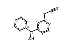 N#C[CH]c1cccc(C(O)c2ccccc2)c1